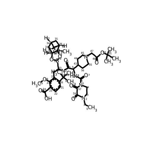 CCN1CCN(C(=O)NC(C(=O)NC(Cc2c(C(C)(C)C)ccc(C(=O)O)c2OC)B2O[C@@H]3C[C@@H]4C[C@@H](C4(C)C)[C@]3(C)O2)C2CCN(CC(=O)OC(C)(C)C)CC2)C(=O)C1=O